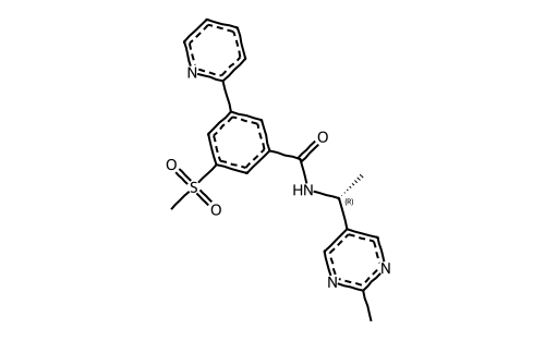 Cc1ncc([C@@H](C)NC(=O)c2cc(-c3ccccn3)cc(S(C)(=O)=O)c2)cn1